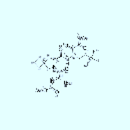 CNC(=O)C(=O)[C@H](CCC(C)(F)F)NC(=O)[C@@H]1CC2(CCC2)CN1C(=O)[C@@H](NC(=O)OC)C(C)(C)C